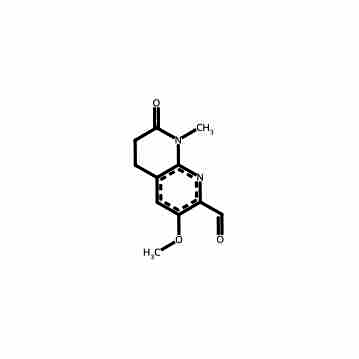 COc1cc2c(nc1C=O)N(C)C(=O)CC2